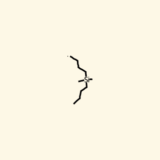 [CH2]CCC[Si](C)(C)CCCC